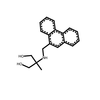 CC(CO)(CO)NCc1cc2ccccc2c2ccccc12